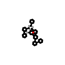 c1ccc(-c2nc(-c3ccccc3)nc(-c3cccc4c5ccccc5n(-c5ccc6oc7ccc(-c8ccccc8-c8ccccc8)cc7c6c5)c34)n2)cc1